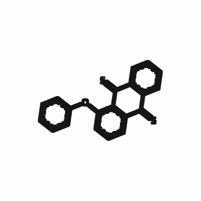 S=C1c2ccccc2C(=S)c2c(Oc3ccccc3)cccc21